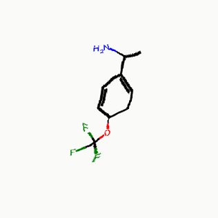 CC(N)C1=CC[C@@H](OC(F)(F)F)C=C1